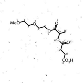 COCCOCCOC(=O)C(C)OC(=O)CCC(=O)O